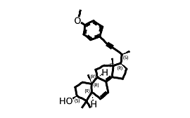 COc1ccc(C#C[C@@H](C)[C@H]2CCC3=C4C=C[C@H]5C(C)(C)[C@@H](O)CC[C@]5(C)[C@H]4CC[C@@]32C)cc1